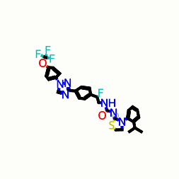 CC(C)c1ccccc1N1CCS/C1=N\C(=O)NCC(F)c1ccc(-c2ncn(-c3ccc(OC(F)(F)F)cc3)n2)cc1